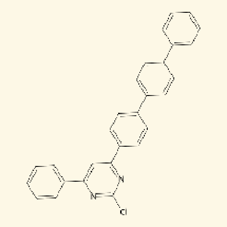 Clc1nc(-c2ccccc2)cc(-c2ccc(-c3ccc(-c4ccccc4)cc3)cc2)n1